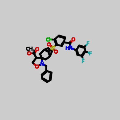 COC(=O)C1CON(Cc2ccccc2)C12CC1CCC(C2)C1S(=O)(=O)c1cc(C(=O)Nc2cc(F)c(F)c(F)c2)ccc1Cl